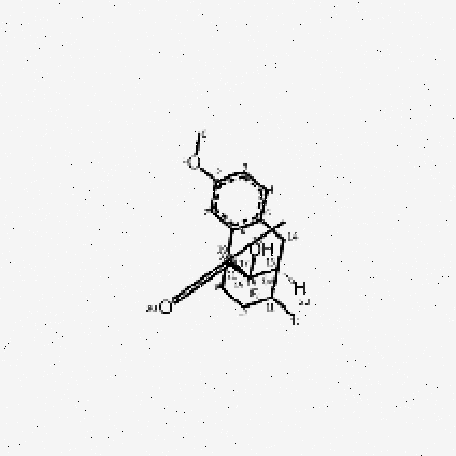 COc1ccc2c(c1)[C@]13CCC(C)[C@H](C2)[C@]1(O)CCC(=O)C3